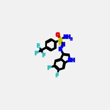 N[SH](=O)(/N=N/c1c[nH]c2cc(F)c(F)cc12)c1ccc(C(F)(F)F)cc1